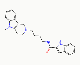 Cn1c2c(c3ccccc31)CN(CCCCNC(=O)c1cc3ccccc3[nH]1)CC2